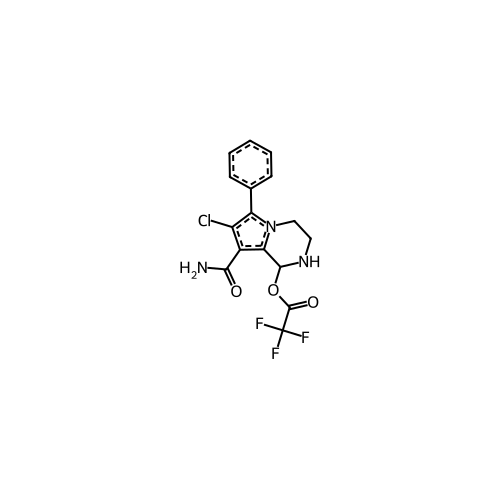 NC(=O)c1c(Cl)c(-c2ccccc2)n2c1C(OC(=O)C(F)(F)F)NCC2